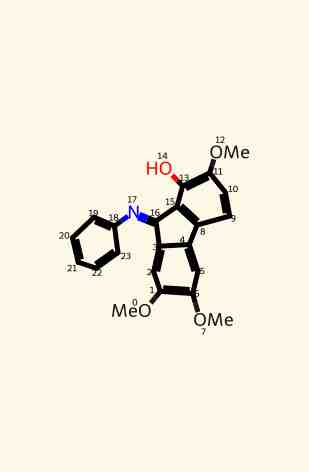 COc1cc2c(cc1OC)-c1ccc(OC)c(O)c1C2=Nc1ccccc1